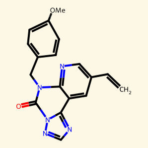 C=Cc1cnc2c(c1)c1ncnn1c(=O)n2Cc1ccc(OC)cc1